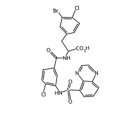 O=C(NC(Cc1ccc(Cl)c(Br)c1)C(=O)O)c1ccc(Cl)c(NS(=O)(=O)c2cccc3nccnc23)c1